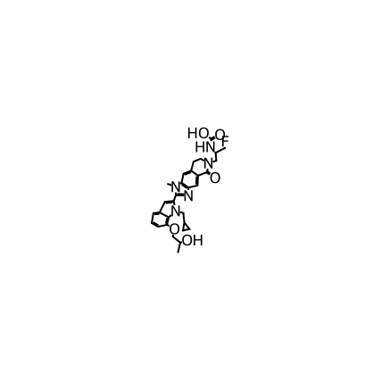 CC(O)COc1cccc2cc(-c3nc4cc5c(cc4n3C)CCN(CC(CF)NC(=O)O)C5=O)n(CC3CC3)c12